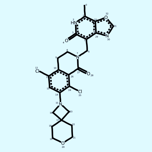 Cc1[nH]c(=O)c(CN2CCc3c(Cl)cc(N4CC5(CCOCC5)C4)c(Cl)c3C2=O)c2ncoc12